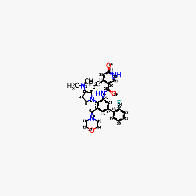 CN(C)C1CCN(c2c(CN3CCOCC3)cc(-c3ccccc3F)cc2NC(=O)c2c[nH]c(=O)cc2C(F)(F)F)C1